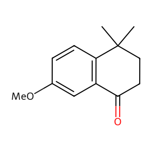 COc1ccc2c(c1)C(=O)CCC2(C)C